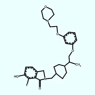 CC(COc1cccc(OCCN2CCOCC2)c1)C1CCC(CN2Cc3ccc(O)c(F)c3C2=O)CC1